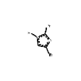 CCn1cc(C(C)C)nc1C(C)C